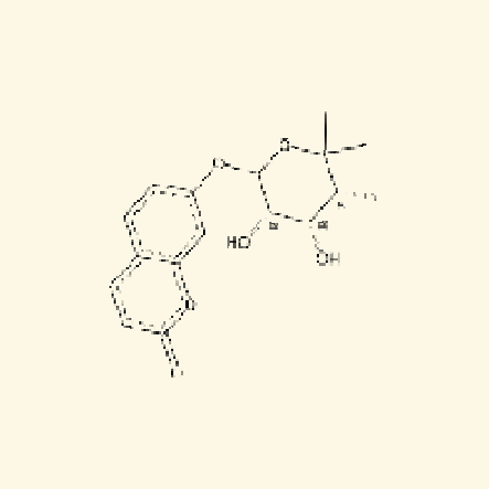 C[C@@H]1[C@H](O)[C@H](O)C(Oc2ccc3ccc(=O)oc3c2)OC1(C)C